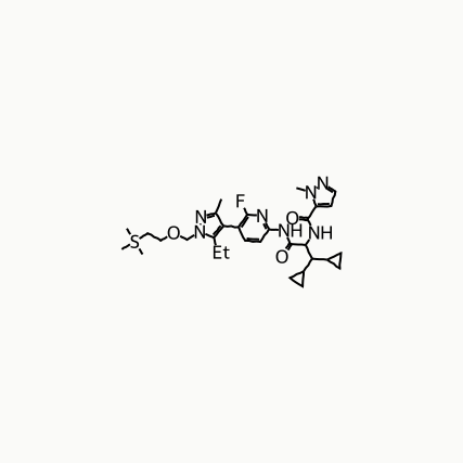 CCc1c(-c2ccc(NC(=O)C(NC(=O)c3ccnn3C)C(C3CC3)C3CC3)nc2F)c(C)nn1COCCS(C)(C)C